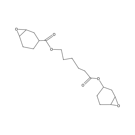 O=C(CCCCCOC(=O)C1CCC2OC2C1)OC1CCC2OC2C1